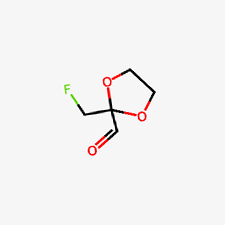 O=CC1(CF)OCCO1